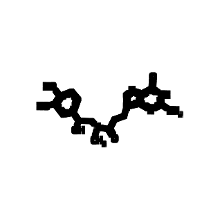 CN(CC(O)c1ccc(O)c(O)c1)C(=O)CCn1cnc2c(=O)[nH]c(N)nc21